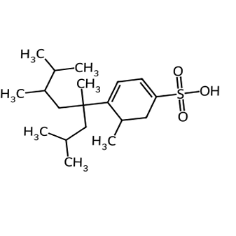 CC(C)CC(C)(CC(C)C(C)C)C1=CC=C(S(=O)(=O)O)CC1C